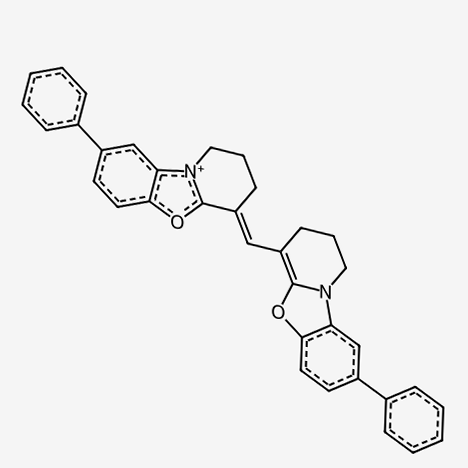 C(=C1CCC[n+]2c1oc1ccc(-c3ccccc3)cc12)C1=C2Oc3ccc(-c4ccccc4)cc3N2CCC1